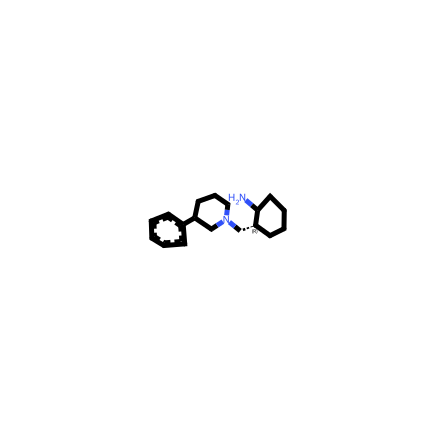 NC1CCCC[C@@H]1CN1CCCC(c2ccccc2)C1